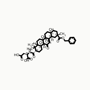 CC1(C)[C@@H](C(=O)N[C@H](CC(=O)O)C(=O)O)CC[C@]2(C)[C@H]3C(=O)C=C4[C@@H]5C[C@@](C)(C(=O)OCc6ccccc6)CC[C@]5(C)CC[C@@]4(C)[C@]3(C)CC[C@@H]12